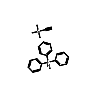 C#C[Si](C)(C)C.C[PH](c1ccccc1)(c1ccccc1)c1ccccc1